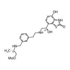 COC[C@H](C)NCc1cccc(CCNC[C@H](O)c2ccc(O)c3[nH]c(=O)sc23)c1